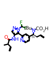 C=CC[C@@H](c1ccnc(-c2c(NC(=O)C(C)C=C)cnn2C(F)F)c1)N(C(=O)O)C(C)(C)C